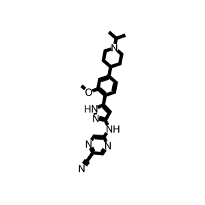 COc1cc(C2CCN(C(C)C)CC2)ccc1-c1cc(Nc2cnc(C#N)cn2)n[nH]1